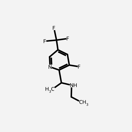 CCNC(C)c1ncc(C(F)(F)F)cc1F